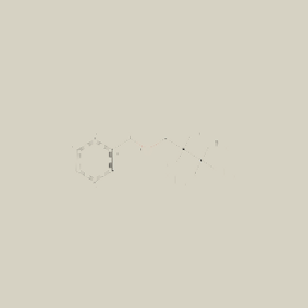 CC(C)(C)C(C)(C)COCc1ccccc1